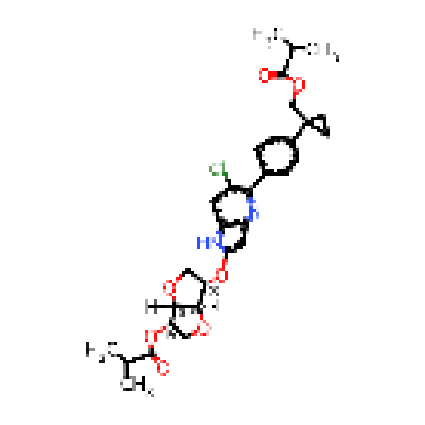 CC(C)C(=O)OCC1(c2ccc(-c3nc4cc(O[C@@H]5CO[C@@H]6[C@@H]5OC[C@H]6OC(=O)C(C)C)[nH]c4cc3Cl)cc2)CC1